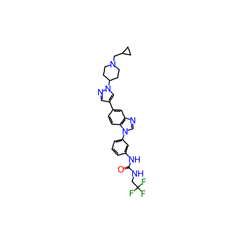 O=C(NCC(F)(F)F)Nc1cccc(-n2cnc3cc(-c4cnn(C5CCN(CC6CC6)CC5)c4)ccc32)c1